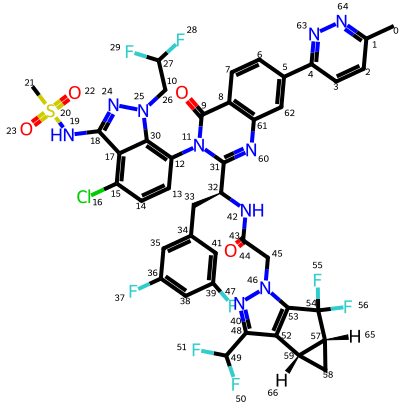 Cc1ccc(-c2ccc3c(=O)n(-c4ccc(Cl)c5c(NS(C)(=O)=O)nn(CC(F)F)c45)c([C@H](Cc4cc(F)cc(F)c4)NC(=O)Cn4nc(C(F)F)c5c4C(F)(F)[C@@H]4C[C@H]54)nc3c2)nn1